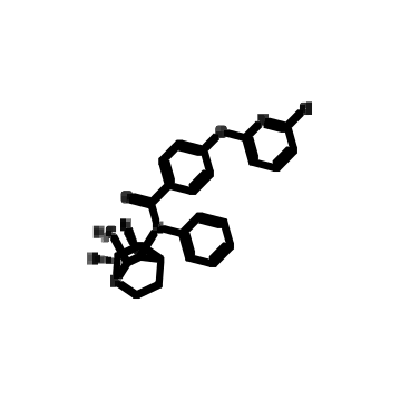 C[C@H]1[C@H](N(C(=O)c2ccc(Oc3cccc(Cl)n3)cc2)c2ccccc2)C2CCN1CC2